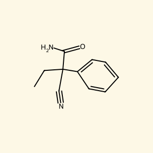 CCC(C#N)(C(N)=O)c1ccccc1